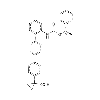 C[C@@H](OC(=O)Nc1ccccc1-c1ccc(-c2ccc(C3(C(=O)O)CC3)cc2)cc1)c1ccccc1